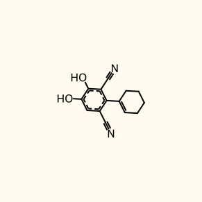 N#Cc1cc(O)c(O)c(C#N)c1C1=CCCCC1